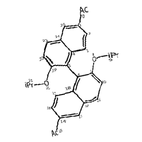 CC(=O)c1ccc2c(-c3c(OC(C)C)ccc4cc(C(C)=O)ccc34)c(OC(C)C)ccc2c1